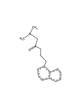 CN(C)CC(=O)C[CH]Cc1cccc2ccccc12